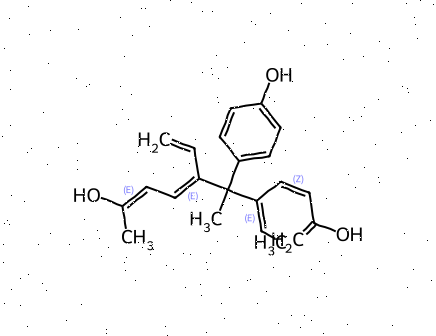 C=C/C(=C\C=C(/C)O)C(C)(C(/C=C\C(=C)O)=C/C)c1ccc(O)cc1